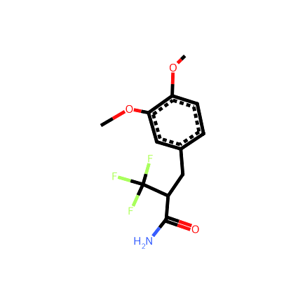 COc1ccc(CC(C(N)=O)C(F)(F)F)cc1OC